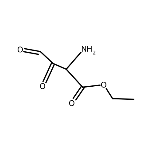 CCOC(=O)C(N)C(=O)C=O